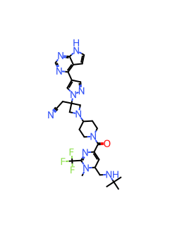 CN1C(C(F)(F)F)=NC(C(=O)N2CCC(N3CC(CC#N)(n4cc(-c5ncnc6[nH]ccc56)cn4)C3)CC2)=CC1CNC(C)(C)C